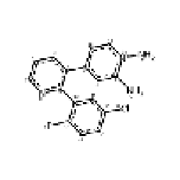 Nc1cc(-c2cccnc2-c2cc(Cl)ccc2F)cc[n+]1N